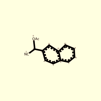 CC(=O)OC(C#N)c1ccc2ccccc2c1